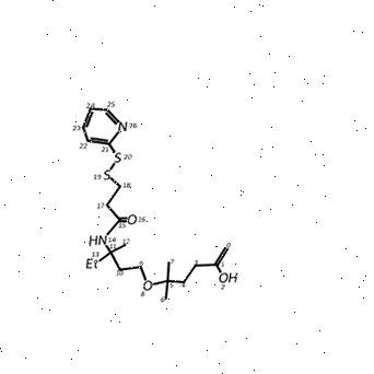 C=C(O)CCC(C)(C)OCCC(C)(CC)NC(=O)CCSSc1ccccn1